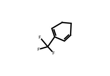 FC(F)(F)C1=C[C]C[C]=C1